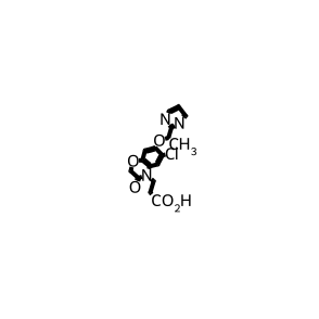 CC(Oc1cc2c(cc1Cl)N(CCC(=O)O)C(=O)CO2)c1ncccn1